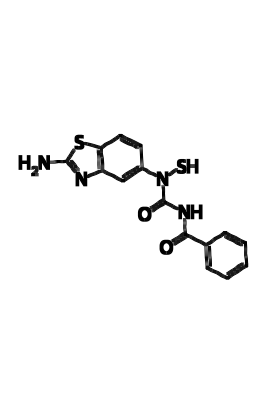 Nc1nc2cc(N(S)C(=O)NC(=O)c3ccccc3)ccc2s1